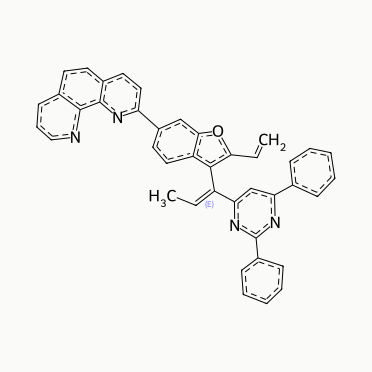 C=Cc1oc2cc(-c3ccc4ccc5cccnc5c4n3)ccc2c1/C(=C\C)c1cc(-c2ccccc2)nc(-c2ccccc2)n1